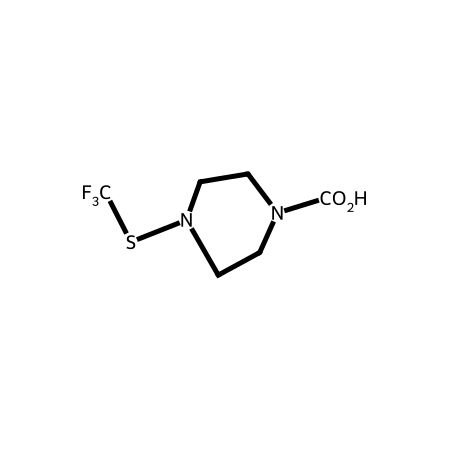 O=C(O)N1CCN(SC(F)(F)F)CC1